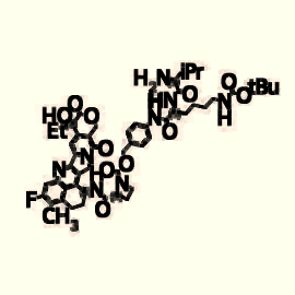 CC[C@]1(O)C(=O)OCc2c1cc1n(c2=O)Cc2c-1nc1cc(F)c(C)c3c1c2[C@H](NC(=O)[C@H]1CCN1C(=O)OCc1ccc(NC(=O)[C@H](CCCCNC(=O)OC(C)(C)C)NC(=O)[C@@H](N)C(C)C)cc1)CC3